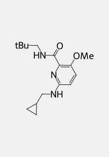 COc1ccc(NCC2CC2)nc1C(=O)NCC(C)(C)C